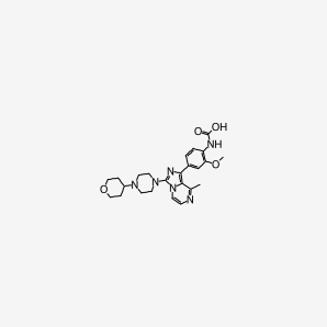 COc1cc(-c2nc(N3CCN(C4CCOCC4)CC3)n3ccnc(C)c23)ccc1NC(=O)O